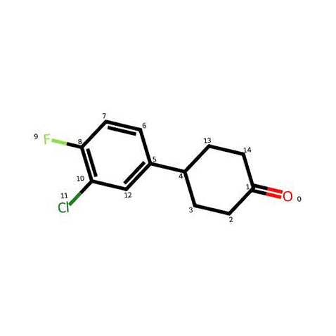 O=C1CCC(c2ccc(F)c(Cl)c2)CC1